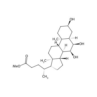 COC(=O)CC[C@@H](C)[C@H]1CC[C@H]2[C@@H]3[C@H](O)[C@H](O)[C@@H]4C[C@H](O)CC[C@]4(C)[C@H]3CC[C@]12C